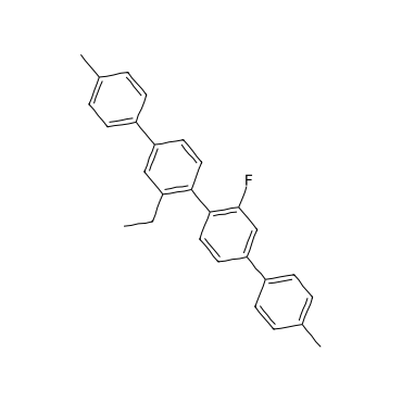 CCc1cc(-c2ccc(C)cc2)ccc1-c1ccc(-c2ccc(C)cc2)cc1F